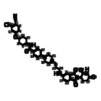 N#Cc1ccc(OC2CCC(NC(=O)c3ccc(N4CCN(CCCNc5ccc6c(c5)C(=O)N(C5CCC(=O)NC5=O)C6=O)CC4)cc3)CC2)cc1Cl